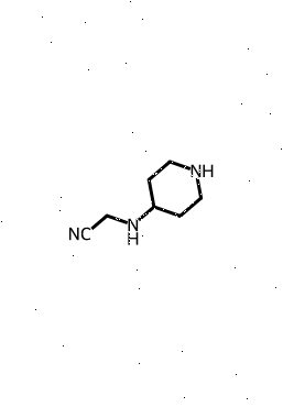 N#CCNC1CCNCC1